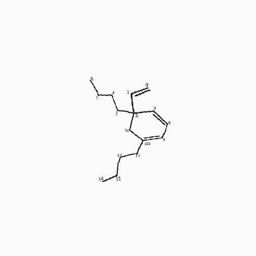 C=CC1(CCCC)C=CC=C(CCCC)C1